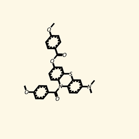 COc1ccc(C(=O)Oc2ccc3c(c2)Sc2cc(N(C)C)ccc2N3C(=O)c2ccc(OC)cc2)cc1